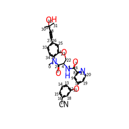 CN1C(=O)C(NC(=O)c2cc(Oc3cccc(C#N)c3)ccn2)COc2cc(C#CC(C)(C)O)ccc21